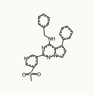 CS(=O)(=O)c1cncc(-c2nc(NCc3ccccc3)c3c(-c4ccccc4)ccn3n2)c1